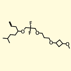 C=CCC(CCC(C)C)OCC(F)(F)COCCCOC1CC(OC)C1